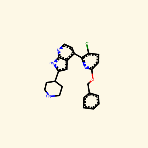 Clc1ccc(OCc2ccccc2)nc1-c1ccnc2[nH]c(C3CCNCC3)cc12